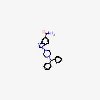 NC(=O)c1ccc2c(c1)ncn2N1CCN(C(c2ccccc2)c2ccccc2)CC1